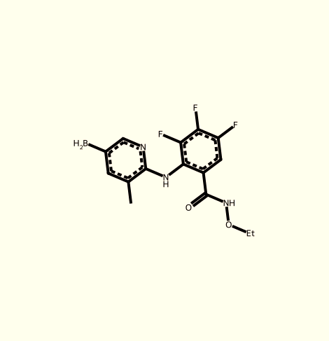 Bc1cnc(Nc2c(C(=O)NOCC)cc(F)c(F)c2F)c(C)c1